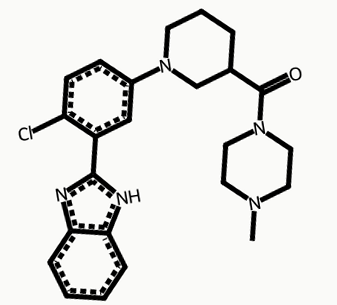 CN1CCN(C(=O)C2CCCN(c3ccc(Cl)c(-c4nc5ccccc5[nH]4)c3)C2)CC1